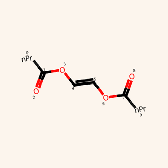 CCCC(=O)OC=COC(=O)CCC